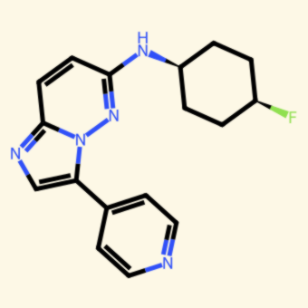 F[C@H]1CC[C@@H](Nc2ccc3ncc(-c4ccncc4)n3n2)CC1